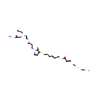 CNC(=O)CN(CCN)CCNC(=O)CCN1C(=O)CC(SCCCCCCNC(=O)CCOCCOCCOC)C1=O